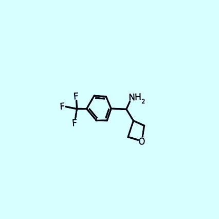 NC(c1ccc(C(F)(F)F)cc1)C1COC1